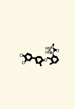 Cc1cc(-c2ccc(Cl)c(Cl)c2)ccc1OCc1c(C)cccc1N1NNN(C)C1=O